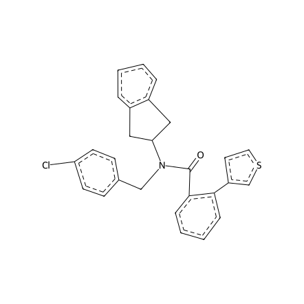 O=C(c1ccccc1-c1ccsc1)N(Cc1ccc(Cl)cc1)C1Cc2ccccc2C1